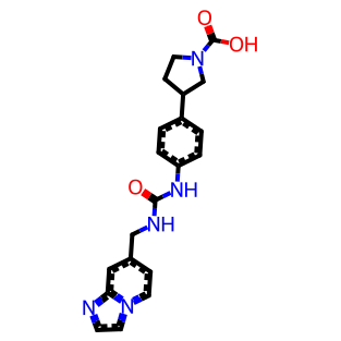 O=C(NCc1ccn2ccnc2c1)Nc1ccc(C2CCN(C(=O)O)C2)cc1